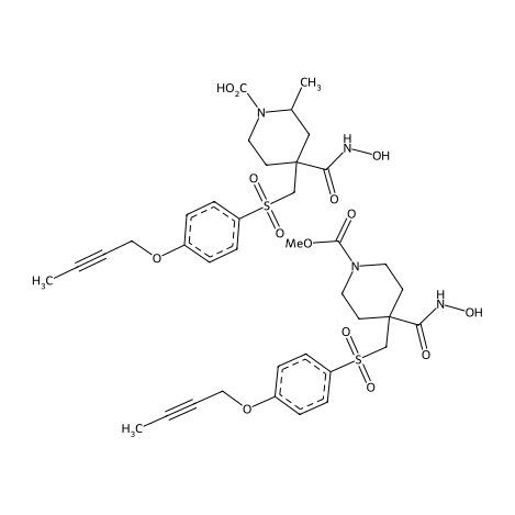 CC#CCOc1ccc(S(=O)(=O)CC2(C(=O)NO)CCN(C(=O)O)C(C)C2)cc1.CC#CCOc1ccc(S(=O)(=O)CC2(C(=O)NO)CCN(C(=O)OC)CC2)cc1